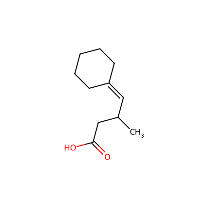 CC(C=C1CCCCC1)CC(=O)O